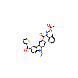 CCn1c2ccc(C(=O)/C(=N/OC(C)=O)c3ccccc3C)cc2c2cc(C(=O)c3cccs3)ccc21